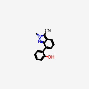 Cn1nc2c(-c3ccccc3O)cccc2c1C#N